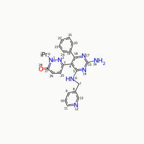 CC(C)n1nc(-c2c(NCc3cccnc3)nc(N)nc2-c2ccccc2)ccc1=O